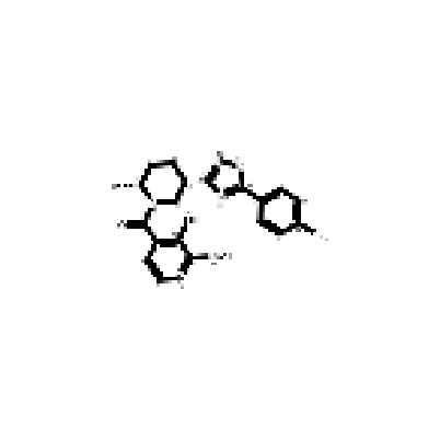 COc1nccc(C(=O)N2C[C@@H](c3noc(-c4ccc(F)cc4)n3)CC[C@H]2C)c1O